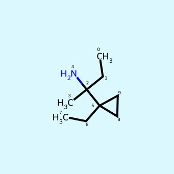 CCC(C)(N)C1(CC)CC1